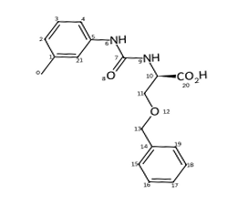 Cc1cccc(NC(=O)N[C@H](COCc2ccccc2)C(=O)O)c1